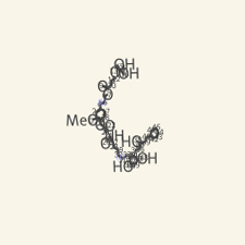 COc1cc(/C=C/COC(=O)CCCON(O)O)ccc1OC(=O)CNC(=O)CCC/C=C\C[C@@H]1[C@@H](CC[C@@H](O)CCc2ccccc2)[C@H](O)C[C@@H]1O